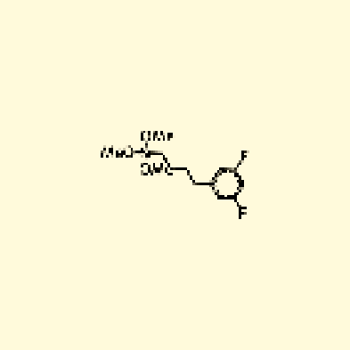 CO[Si](CCCCc1cc(F)cc(F)c1)(OC)OC